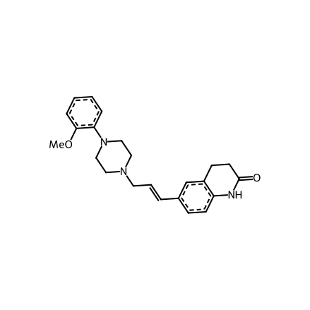 COc1ccccc1N1CCN(CC=Cc2ccc3c(c2)CCC(=O)N3)CC1